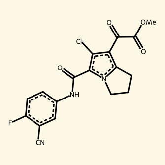 COC(=O)C(=O)c1c(Cl)c(C(=O)Nc2ccc(F)c(C#N)c2)n2c1CCC2